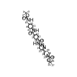 CC(C)(C)OC(=O)NCc1ccc(NC(=O)c2ccc(C(=O)Nc3ccc(C4=CCN(C(=O)OC(C)(C)C)CC4)nn3)cc2)cc1